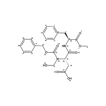 COC(=O)[C@H](Cc1ccccc1)NC(=O)[C@H](CC(=O)O)N(CO)C(=O)OCc1ccccc1